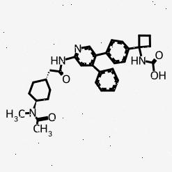 CC(=O)N(C)[C@H]1CC[C@H](CC(=O)Nc2cc(-c3ccccc3)c(-c3ccc(C4(NC(=O)O)CCC4)cc3)cn2)CC1